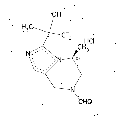 C[C@H]1CN(C=O)Cc2cnc(C(C)(O)C(F)(F)F)n21.Cl